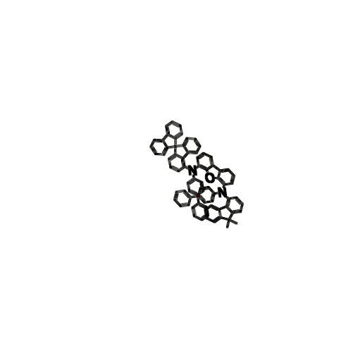 CC1(C)c2ccccc2-c2c(N(c3ccc(-c4ccccc4)cc3)c3cccc4c3oc3c(N(c5ccc(-c6ccccc6)cc5)c5cccc6c5-c5ccccc5C65c6ccccc6-c6ccccc65)cccc34)cccc21